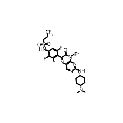 CC(C)n1c(=O)c(-c2c(F)cc(NS(=O)(=O)CCC(F)(F)F)c(F)c2F)nc2cnc(N[C@H]3CC[C@H](N(C)C)CC3)nc21